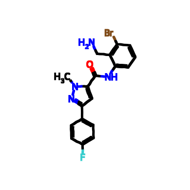 Cn1nc(-c2ccc(F)cc2)cc1C(=O)Nc1cccc(Br)c1CN